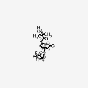 CCC(C)(C)C(=O)OC1C2CC3C1OC(=O)C3C2COC(C(F)(F)F)C(F)(F)F